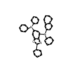 c1ccc(-c2nc3c(N(c4ccccc4)c4ccc5ccccc5c4)cc(N(c4ccccc4)c4ccccc4)cc3o2)cc1